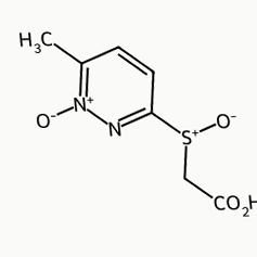 Cc1ccc([S+]([O-])CC(=O)O)n[n+]1[O-]